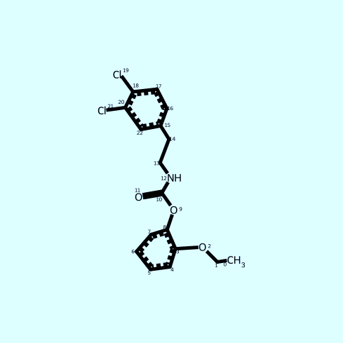 CCOc1ccccc1OC(=O)NCCc1ccc(Cl)c(Cl)c1